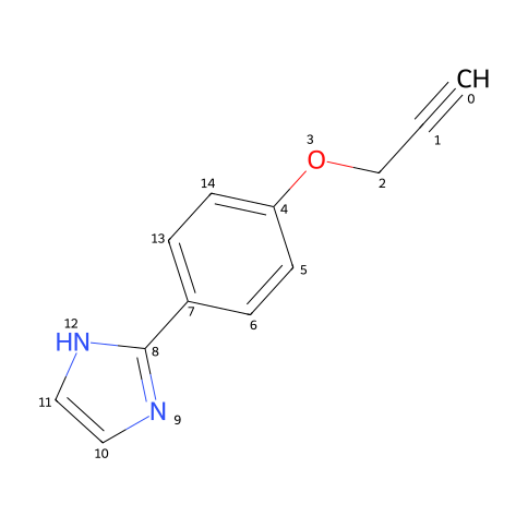 C#CCOc1ccc(-c2ncc[nH]2)cc1